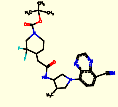 CC1CN(c2ccc(C#N)c3nccnc23)CC1NC(=O)CC1CCN(C(=O)OC(C)(C)C)CC1(F)F